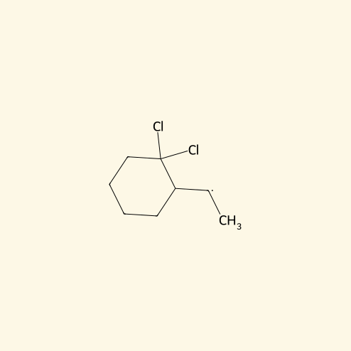 C[CH]C1CCCCC1(Cl)Cl